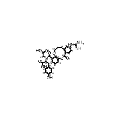 N=C(N)Nc1ccc2c(c1)CCCOc1c(cccc1C(=O)N(CC(=O)O)C(Cc1ccc(O)cc1)C(=O)O)OC2=O